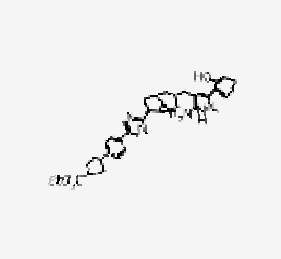 CCOC(=O)[C@H]1CC[C@@H](c2ccc(-c3cnc(C4CC5CC(CC6=C(N)NN(C)C(c7ccccc7O)=C6)CC6C5C46)nc3)cc2)CC1